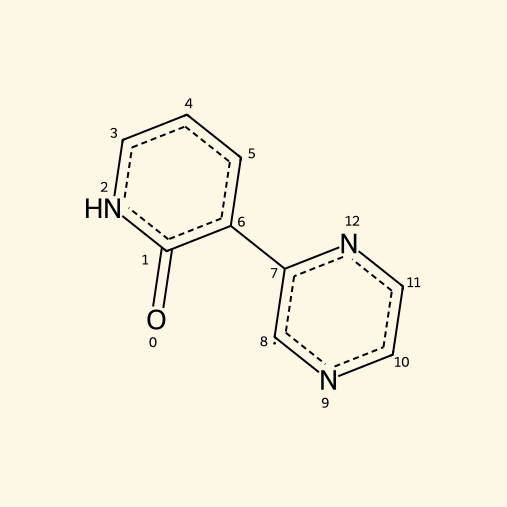 O=c1[nH]cccc1-c1[c]nccn1